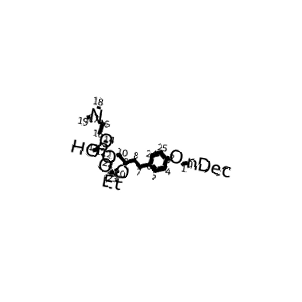 CCCCCCCCCCCOc1ccc(CCC(COP(O)OCCN(C)C)OC(=O)CC)cc1